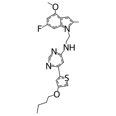 CCCCOc1csc(-c2cc(NCCn3c(C)cc4c(OC)cc(F)cc43)ncn2)c1